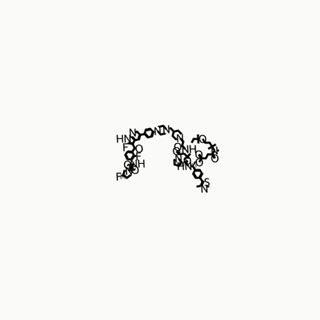 CCC(C)(C)OCCC(C)(C)N(C)C(=O)CCC(=O)OC[C@H](NC(=O)[C@@H]1CCCN1C(=O)C(NC(=O)CN1CCC(CN2CCN(c3ccc(-c4cnc5[nH]cc(C(=O)c6c(F)ccc(NS(=O)(=O)N7CC[C@@H](F)C7)c6F)c5c4)cc3)CC2)CC1)C(C)(C)C)c1ccc(-c2scnc2C)cc1